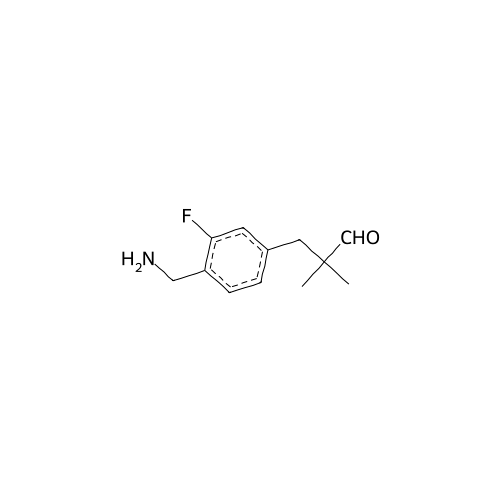 CC(C)(C=O)Cc1ccc(CN)c(F)c1